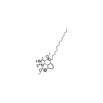 CCCCCCCCCCCCCCCc1cccc(OC)c1C1C(C(=O)OCC)=C(C)NC(=S)N1C(=O)OCC